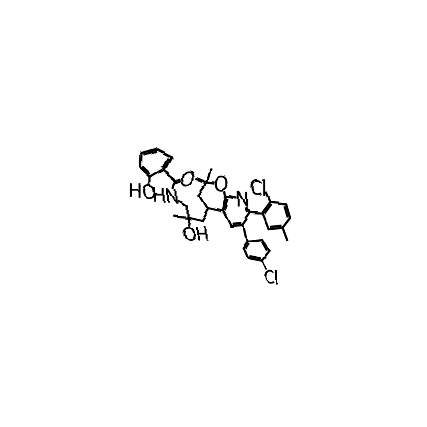 Cc1ccc(Cl)c(-c2nc3c(cc2-c2ccc(Cl)cc2)C(CC(C)(O)CNC(=O)c2ccccc2O)CC(C)(C)O3)c1